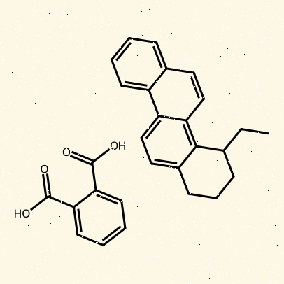 CCC1CCCc2ccc3c(ccc4ccccc43)c21.O=C(O)c1ccccc1C(=O)O